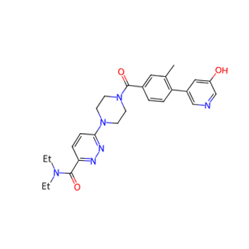 CCN(CC)C(=O)c1ccc(N2CCN(C(=O)c3ccc(-c4cncc(O)c4)c(C)c3)CC2)nn1